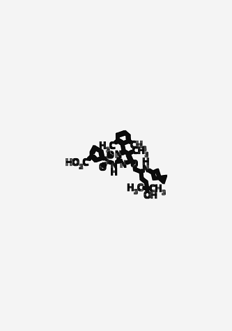 Cc1cccc(C)c1-c1nc(NS(=O)(=O)c2cccc(C(=O)O)c2)nc(OCC(CCC(C)(C)O)NC2CC3(CC3)C2)c1C